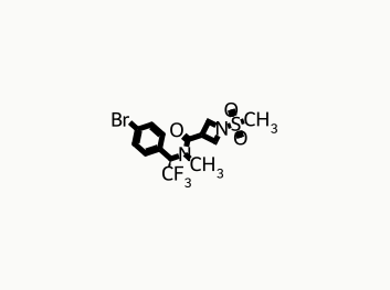 CN(C(=O)C1CN(S(C)(=O)=O)C1)[C@@H](c1ccc(Br)cc1)C(F)(F)F